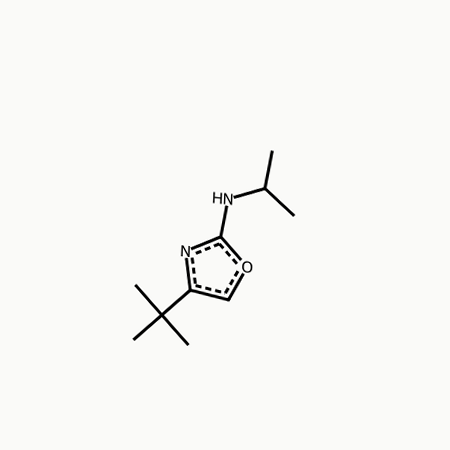 CC(C)Nc1nc(C(C)(C)C)co1